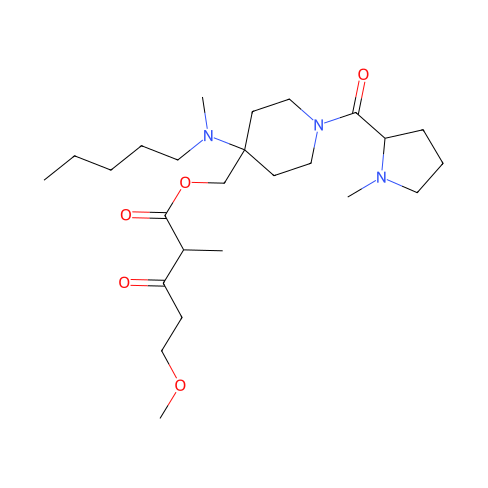 CCCCCN(C)C1(COC(=O)C(C)C(=O)CCOC)CCN(C(=O)C2CCCN2C)CC1